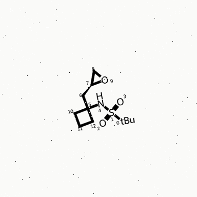 CC(C)(C)S(=O)(=O)NC1(C[C@H]2CO2)CCC1